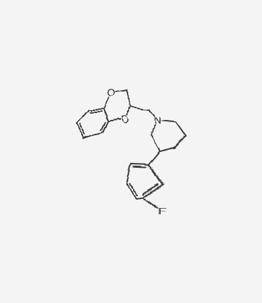 Fc1cccc(C2CCCN(CC3COc4ccccc4O3)C2)c1